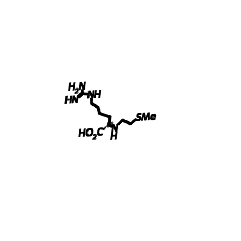 CSCCN[C@@H](CCCCNC(=N)N)C(=O)O